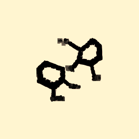 COc1ccccc1OC.Cc1cccc(O)c1O